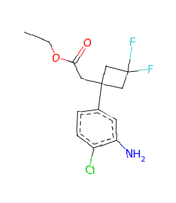 CCOC(=O)CC1(c2ccc(Cl)c(N)c2)CC(F)(F)C1